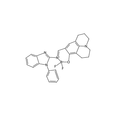 F[B-]1(F)Oc2c(cc3c4c2CCCN4CCC3)C=[N+]1c1nc2ccccc2n1-c1ccccc1